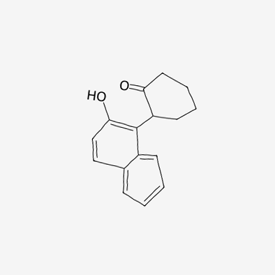 O=C1CCCCC1c1c(O)ccc2ccccc12